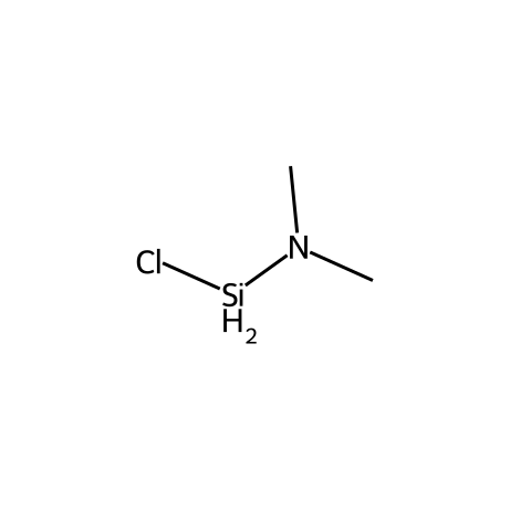 CN(C)[SiH2]Cl